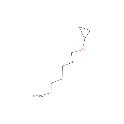 CCCCCCCCCCCCPC1CC1